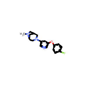 CN1CC2CC1CN(c1cncc(Oc3ccc(F)cc3)c1)C2